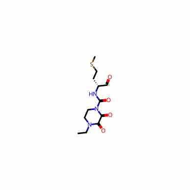 CCN1CCN(C(=O)N[C@@H]([C]=O)CCSC)C(=O)C1=O